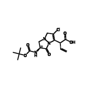 C=CC(C(=O)O)C1=C(Cl)CN2C[C@H](NC(=O)OC(C)(C)C)C(=O)N12